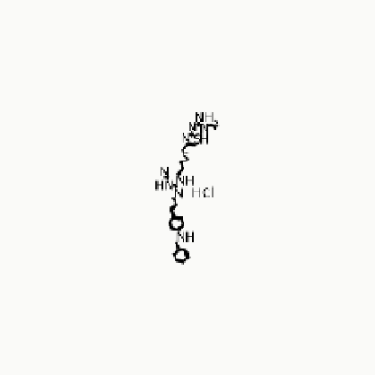 CCNC(N)=Nc1nc(CSCCCNC(=NCC=Cc2ccc(NCc3ccccc3)cc2)NC#N)cs1.Cl